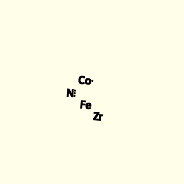 [Co].[Fe].[N].[Zr]